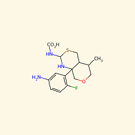 CC1COCC2(c3cc(N)ccc3F)NC(NC(=O)O)SCC12